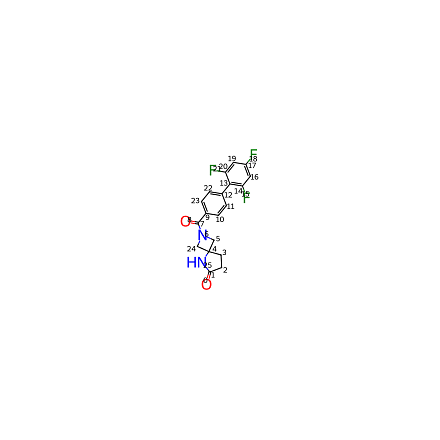 O=C1CCC2(CN(C(=O)c3ccc(-c4c(F)cc(F)cc4F)cc3)C2)N1